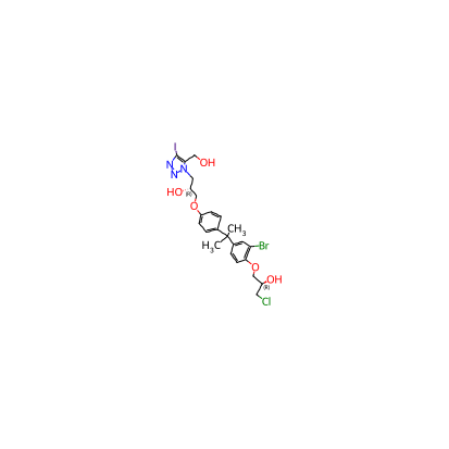 CC(C)(c1ccc(OC[C@H](O)Cn2nnc(I)c2CO)cc1)c1ccc(OC[C@@H](O)CCl)c(Br)c1